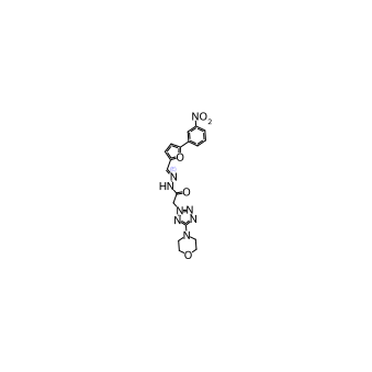 O=C(Cn1nnc(N2CCOCC2)n1)N/N=C/c1ccc(-c2cccc([N+](=O)[O-])c2)o1